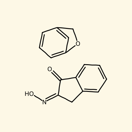 O=C1C(=NO)Cc2ccccc21.c1cc2cc(c1)OC2